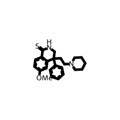 COc1ccc2c(c1)C(CCN1CCCCC1)(c1ccccc1)CNC2=S